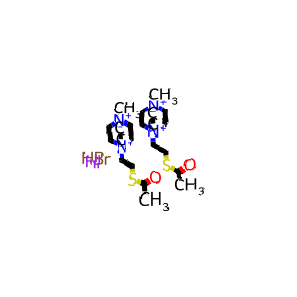 Br.CC(=O)SCC[N+]12CC[N+](C)(CC1)CC2.CC(=O)SCC[N+]12CC[N+](C)(CC1)CC2.I